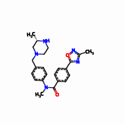 Cc1noc(-c2ccc(C(=O)N(C)c3ccc(CN4CCN[C@@H](C)C4)cc3)cc2)n1